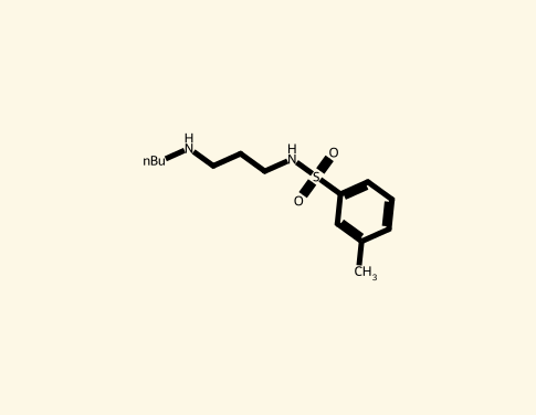 CCCCNCCCNS(=O)(=O)c1cccc(C)c1